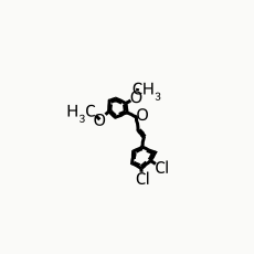 COc1ccc(OC)c(C(=O)C=Cc2ccc(Cl)c(Cl)c2)c1